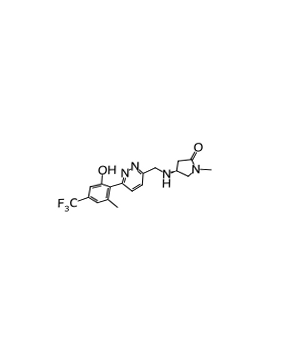 Cc1cc(C(F)(F)F)cc(O)c1-c1ccc(CN[C@H]2CC(=O)N(C)C2)nn1